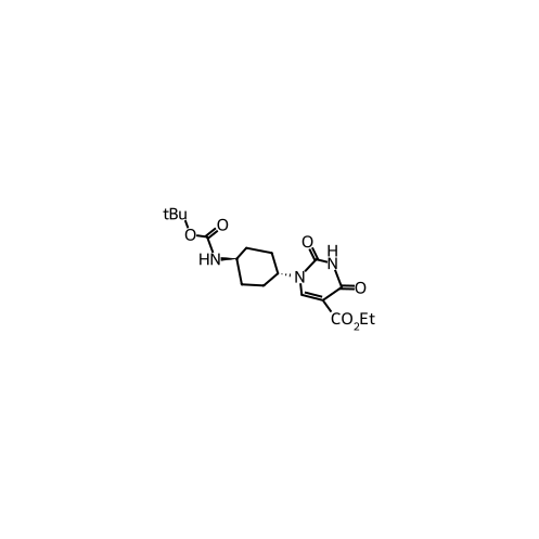 CCOC(=O)c1cn([C@H]2CC[C@H](NC(=O)OC(C)(C)C)CC2)c(=O)[nH]c1=O